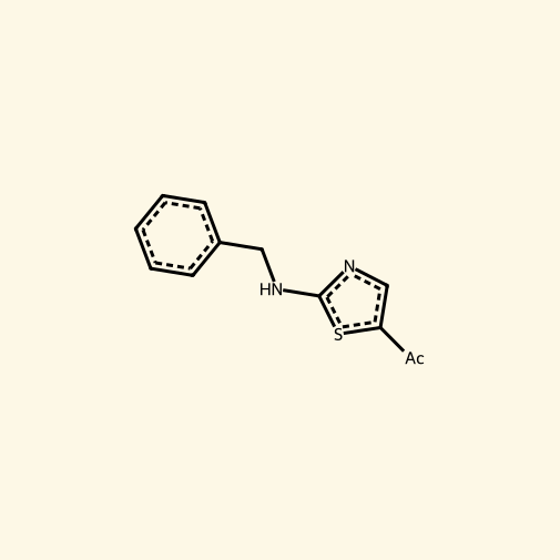 CC(=O)c1cnc(NCc2ccccc2)s1